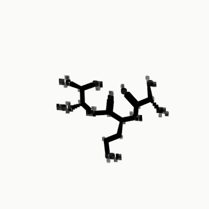 CC[C@H](C)[C@H](N)C(=O)N[C@@H](CCC(=O)O)C(=O)N[C@H](C(=O)O)[C@@H](C)O